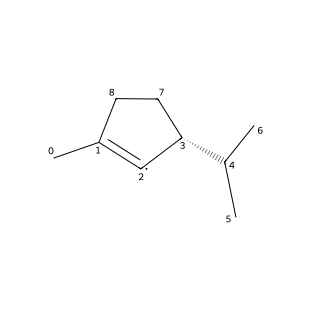 CC1=[C][C@@H](C(C)C)CC1